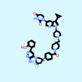 Nc1nnc(-c2ccccc2O)cc1N1C[C@H](F)C[C@H](c2ccc(C(=O)N3CCC(F)(CN4CCC(n5cc(C6CC6)c6cc(N7CCC(=O)NC7=O)cnc65)CC4)CC3)cc2)C1